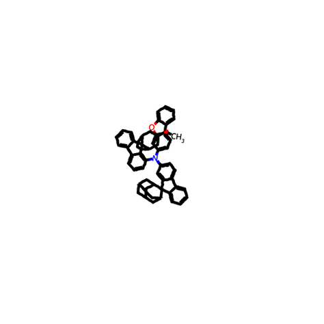 CCC1CC2CCCC(C1)C21c2ccccc2-c2cccc(N(c3ccc4c(c3)C3(c5ccccc5-4)C4CC5CC(C4)CC3C5)c3ccc4c(c3)oc3ccccc34)c21